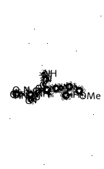 COc1ccc(CN2CCN(C3CC4(CCN(c5cc(Oc6cnc7[nH]ccc7c6)c(C(=O)NS(=O)(=O)c6cc([N+](=O)[O-])c(NCC7CCOCC7)c7ocnc67)cc5F)CC4)C3)C(c3ccccc3C(C)C)C2)cc1